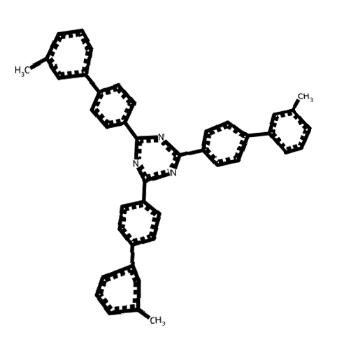 Cc1cccc(-c2ccc(-c3nc(-c4ccc(-c5cccc(C)c5)cc4)nc(-c4ccc(-c5cccc(C)c5)cc4)n3)cc2)c1